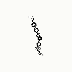 CCCc1cnc(N2CCC(C3Cc4cc(N5CCN(S(=O)(=O)CCC)CC5)ccc4O3)CC2)nc1